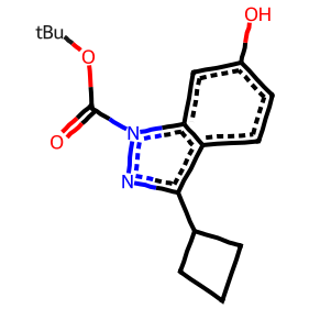 CC(C)(C)OC(=O)n1nc(C2CCC2)c2ccc(O)cc21